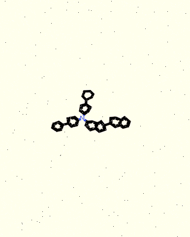 c1ccc(-c2ccc(N(c3ccc(C4CCCCC4)cc3)c3ccc4ccc(-c5ccc6ccccc6c5)cc4c3)cc2)cc1